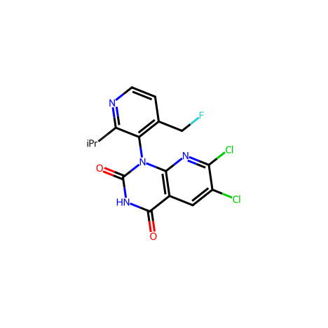 CC(C)c1nccc(CF)c1-n1c(=O)[nH]c(=O)c2cc(Cl)c(Cl)nc21